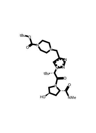 CNC(=O)[C@@H]1C[C@@H](O)CN1C(=O)[C@@H](n1cc(CN2CCN(C(=O)OC(C)(C)C)CC2)nn1)C(C)(C)C